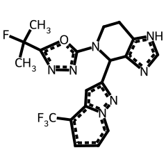 CC(C)(F)c1nnc(N2CCc3[nH]cnc3C2c2cc3c(C(F)(F)F)cccn3n2)o1